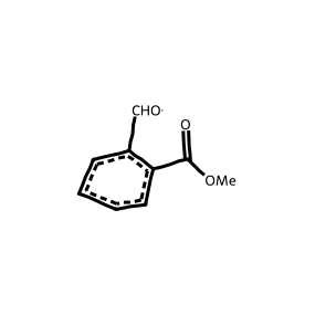 COC(=O)c1ccccc1[C]=O